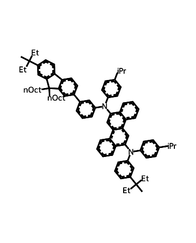 CCCCCCCCC1(CCCCCCCC)c2cc(-c3cccc(N(c4ccc(C(C)C)cc4)c4cc5c6ccccc6c(N(c6ccc(C(C)C)cc6)c6cccc(C(C)(CC)CC)c6)cc5c5ccccc45)c3)ccc2-c2ccc(C(C)(CC)CC)cc21